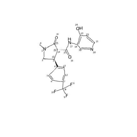 CN1C[C@H](c2ccc(C(F)(F)F)cc2)[C@@H](C(=O)Nc2cnccc2O)C1=O